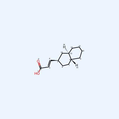 O=C(O)/C=C/[C@@H]1CC[C@H]2CCCC[C@@H]2C1